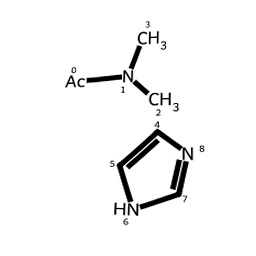 CC(=O)N(C)C.c1c[nH]cn1